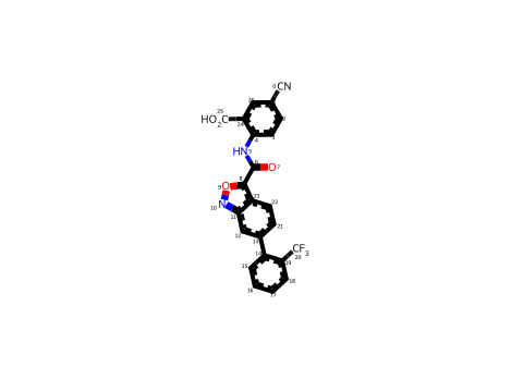 N#Cc1ccc(NC(=O)c2onc3cc(-c4ccccc4C(F)(F)F)ccc23)c(C(=O)O)c1